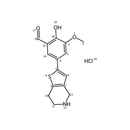 COc1cc(-c2cc3c(s2)CCNC3)cc(C=O)c1O.Cl